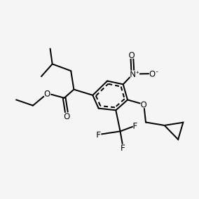 CCOC(=O)C(CC(C)C)c1cc([N+](=O)[O-])c(OCC2CC2)c(C(F)(F)F)c1